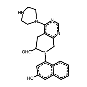 O=CC1Cc2c(ncnc2N2CCNCC2)CN1c1cc(O)cc2ccccc12